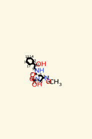 CON=C1C[C@@H](C(=O)NC[C@H](O)c2ccccc2)N(C(=O)O)C1